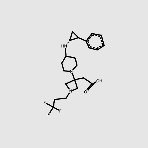 O=C(O)CC1(N2CCC(N[C@@H]3CC3c3ccccc3)CC2)CN(CCC(F)(F)F)C1